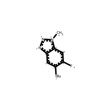 Cn1nnc2cc(C(C)(C)C)c(F)cc21